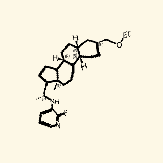 CCOC[C@H]1CC[C@@H]2C3CC[C@@]4(C)C(CCC4[C@@H](C)Nc4cccnc4F)[C@@H]3CC[C@@H]2C1